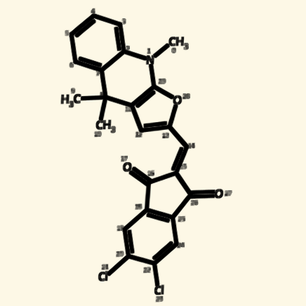 CN1c2ccccc2C(C)(C)c2cc(C=C3C(=O)c4cc(Cl)c(Cl)cc4C3=O)oc21